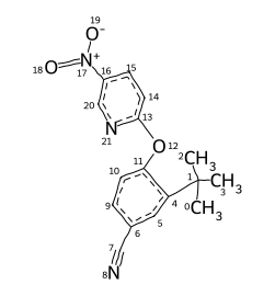 CC(C)(C)c1cc(C#N)ccc1Oc1ccc([N+](=O)[O-])cn1